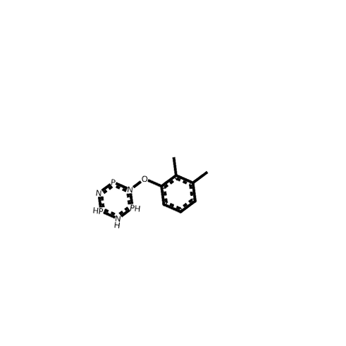 Cc1cccc(On2pn[pH][nH][pH]2)c1C